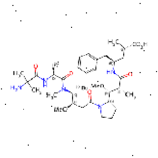 CC[C@H](C)[C@@H]([C@@H](CC(=O)N1CCC[C@H]1[C@H](OC)[C@@H](C)C(=O)N[C@@H](Cc1ccccc1)C[C@H](C)C(=O)O)OC)N(C)C(=O)[C@@H](NC(=O)C(C)(C)N)C(C)C